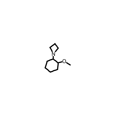 COC1CCCCC1N1CCC1